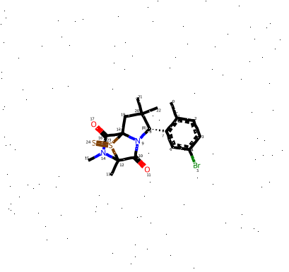 Cc1ccc(Br)cc1[C@@H]1N2C(=O)C3(C)N(C)C(=O)C2(CC1(C)C)S3=S